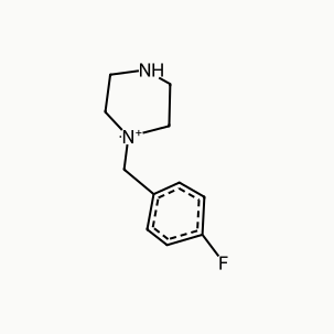 Fc1ccc(C[N+]2CCNCC2)cc1